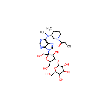 C[C@@H]1CCN(C(=O)CC#N)C[C@@H]1N(C)c1ncnc2c1ncn2C1(CO)O[C@H](CO)[C@@H](OC2O[C@H](CO)[C@H](O)[C@H](O)[C@H]2O)[C@@H]1O